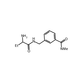 CCC(N)C(=O)NCc1cccc(C(=O)NC)c1